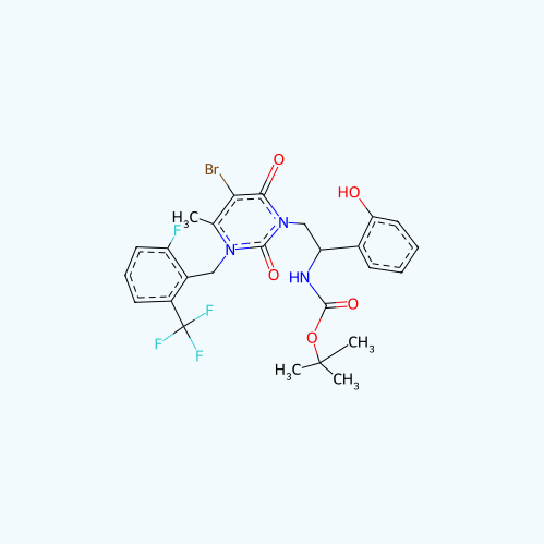 Cc1c(Br)c(=O)n(CC(NC(=O)OC(C)(C)C)c2ccccc2O)c(=O)n1Cc1c(F)cccc1C(F)(F)F